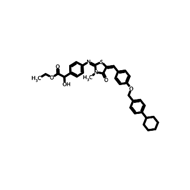 CCOC(=O)C(O)c1ccc(N=C2SC(=Cc3ccc(OCc4ccc(C5CCCCC5)cc4)cc3)C(=O)N2C)cc1